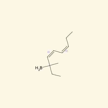 BC(C)(/C=C\C=C/CC)CC